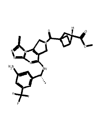 COC(=O)[C@H]1CC2(C(=O)N3Cc4c(N[C@H](C)c5cc(N)cc(C(F)(F)F)c5)nc5nnc(C)n5c4C3)CC1C2